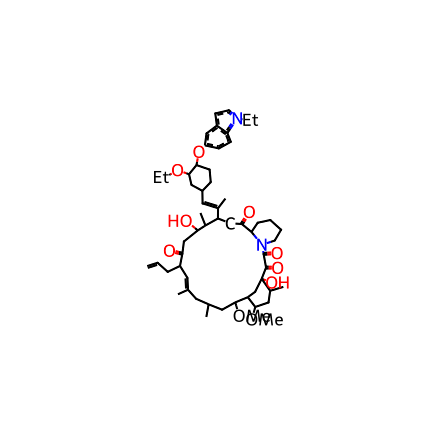 C=CCC1/C=C(\C)CC(C)CC(OC)C2CC(O)(C(=O)C(=O)N3CCCCC3C(=O)CC(C(C)=CC3CCC(Oc4ccc5c(ccn5CC)c4)C(OCC)C3)C(C)C(O)CC1=O)C(C)CC2OC